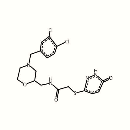 O=C(CSc1ccc(=O)[nH]n1)NCC1CN(Cc2ccc(Cl)c(Cl)c2)CCO1